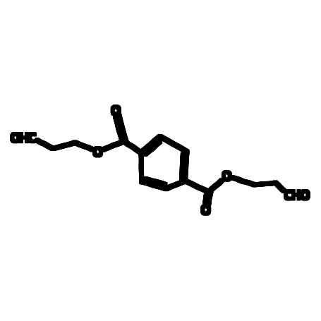 O=CCCOC(=O)c1ccc(C(=O)OCCC=O)cc1